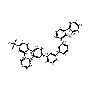 CC(C)(C)c1ccc2c(c1)c1cncnc1c1cc(-c3cccc(-c4cccc(-c5cccc6c5sc5ccccc56)c4)c3)ccc21